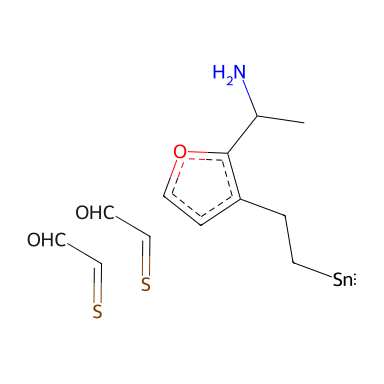 CC(N)c1occc1C[CH2][Sn].O=CC=S.O=CC=S